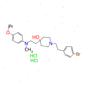 CC(C)Oc1ccc(N(C)CCC2(O)CCN(CCc3ccc(Br)cc3)CC2)cc1.Cl.Cl